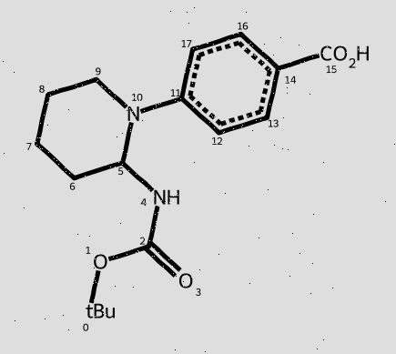 CC(C)(C)OC(=O)NC1CCCCN1c1ccc(C(=O)O)cc1